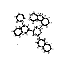 c1ccc(-c2cc(-c3nc(-c4ccc5ccccc5c4)nc(-c4cccc5oc6cnccc6c45)n3)cc3ccccc23)cc1